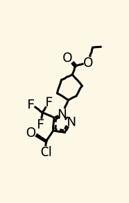 CCOC(=O)C1CCC(n2ncc(C(=O)Cl)c2C(F)(F)F)CC1